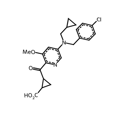 COc1cc(N(Cc2ccc(Cl)cc2)CC2CC2)cnc1C(=O)C1CC1C(=O)O